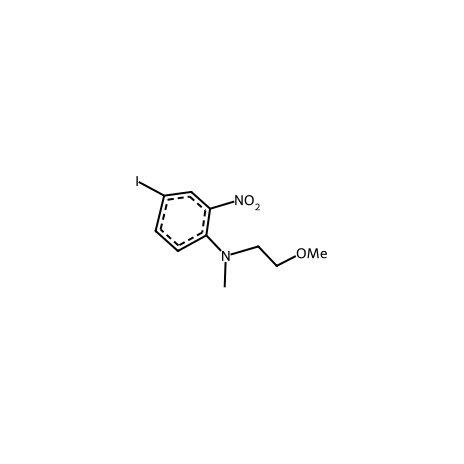 COCCN(C)c1ccc(I)cc1[N+](=O)[O-]